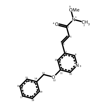 CON(C)C(=O)C=Cc1cncc(OCc2ccccc2)c1